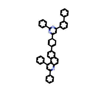 C1=CC(c2cc(-c3cccc(-c4ccccc4)c3)nc(-c3ccccc3)n2)CC=C1c1ccc2c(ccc3nc(-c4ccccc4)cc(-c4ccccc4)c32)c1